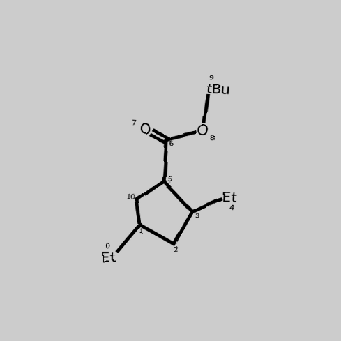 CCC1CC(CC)C(C(=O)OC(C)(C)C)C1